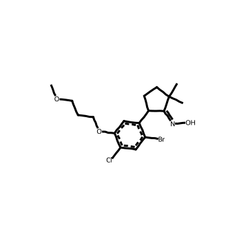 COCCCOc1cc(C2CCC(C)(C)C2=NO)c(Br)cc1Cl